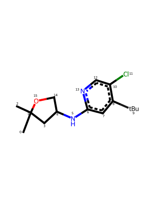 CC1(C)CC(Nc2cc(C(C)(C)C)c(Cl)cn2)CO1